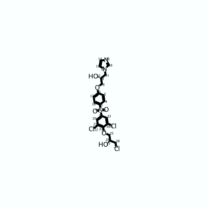 O=S(=O)(c1ccc(OC[C@H](O)Cn2ccnc2)cc1)c1cc(Cl)c(OC[C@H](O)CCl)c(Cl)c1